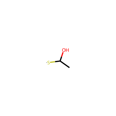 CC(O)[S]